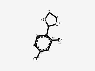 Clc1ccc(C2OCCO2)c(Br)c1